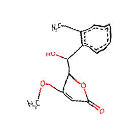 COC1=CC(=O)OC1C(O)c1ccccc1C